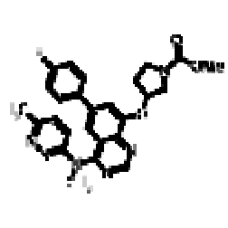 COC(=O)N1CCC(Oc2cc(-c3ccc(F)cc3)cc3c(N(C)c4ccc(C)nn4)ncnc23)C1